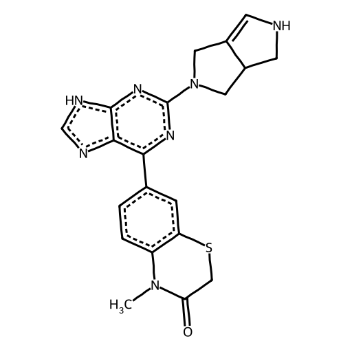 CN1C(=O)CSc2cc(-c3nc(N4CC5=CNCC5C4)nc4[nH]cnc34)ccc21